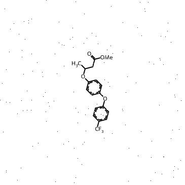 COC(=O)CC(C)Oc1ccc(Oc2ccc(C(F)(F)F)cc2)cc1